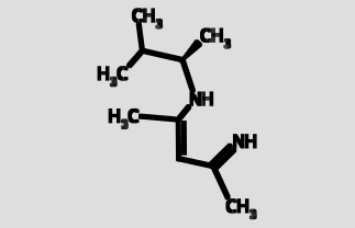 CC(=N)/C=C(/C)N[C@H](C)C(C)C